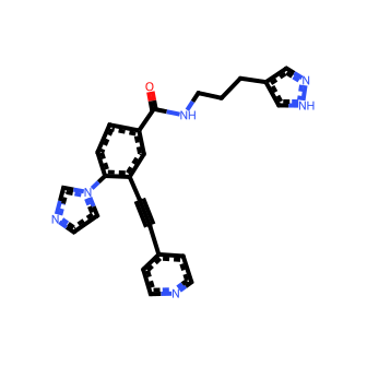 O=C(NCCCc1cn[nH]c1)c1ccc(-n2ccnc2)c(C#Cc2ccncc2)c1